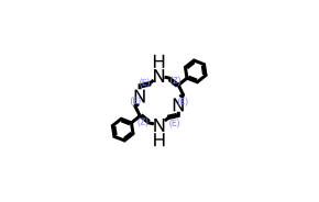 C1=C(c2ccccc2)/C=N/C=C/N\C=C(c2ccccc2)/C=N/C=C/N\1